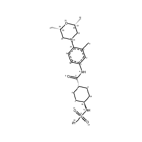 Cc1cc(NC(=O)[C@H]2CC[C@H](NS(=O)(=O)C(C)C)CC2)ccc1N1C[C@@H](C)O[C@@H](C)C1